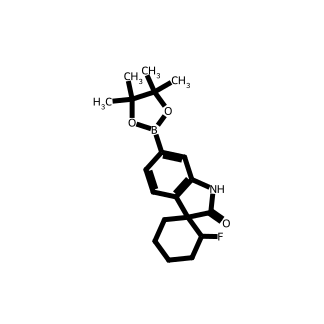 CC1(C)OB(c2ccc3c(c2)NC(=O)C32CCCCC2F)OC1(C)C